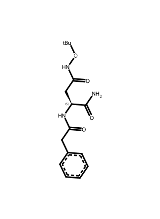 CC(C)(C)ONC(=O)C[C@H](NC(=O)Cc1ccccc1)C(N)=O